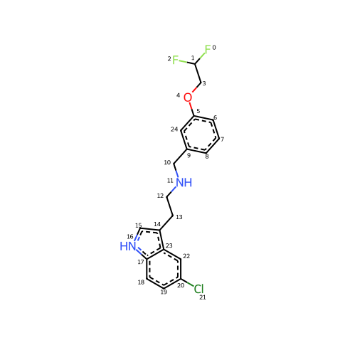 FC(F)COc1cccc(CNCCc2c[nH]c3ccc(Cl)cc23)c1